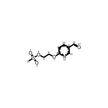 CS(=O)(=O)OCCOc1ccc(C=O)cn1